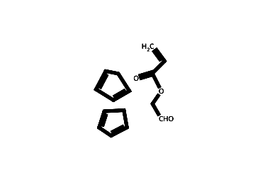 C1=CCC=C1.C1=CCC=C1.C=CC(=O)OCC=O